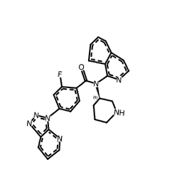 O=C(c1ccc(-n2nnc3cccnc32)cc1F)N(c1nccc2ccccc12)[C@@H]1CCCNC1